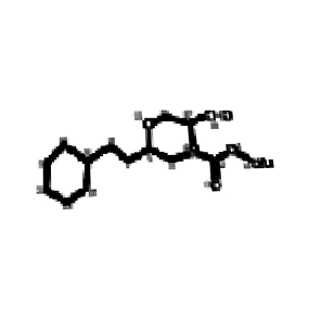 CC(C)(C)OC(=O)N1CC(CCC2CCCCC2)OCC1C=O